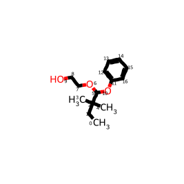 CCC(C)(C)C(OCCO)Oc1ccccc1